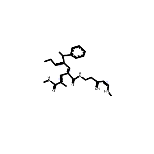 CC/C=C(/C=C(\C=C(/C)C(=O)NC)C(=O)NCCC(=N)/C=C\NC)C(C)c1ccccc1